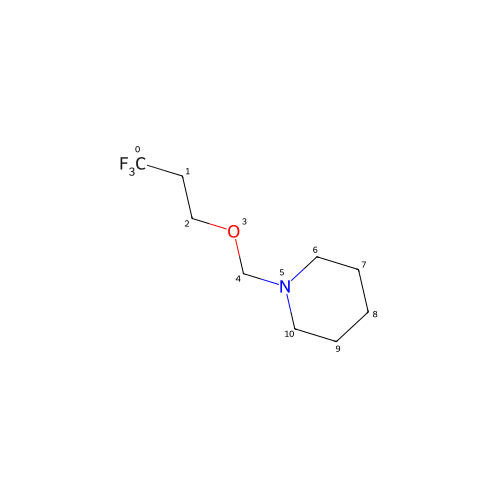 FC(F)(F)CCOCN1CCCCC1